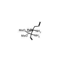 C=CCC(N)(N)C(N)(C=C)[Si](OC)(OC)OC